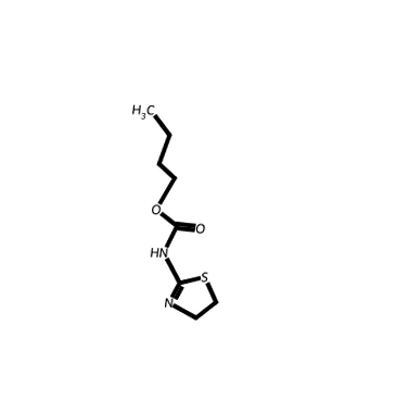 CCCCOC(=O)NC1=NCCS1